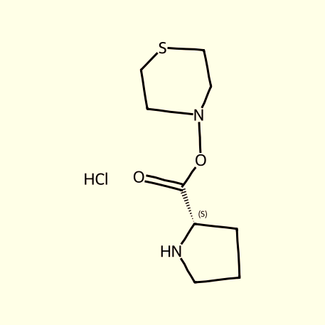 Cl.O=C(ON1CCSCC1)[C@@H]1CCCN1